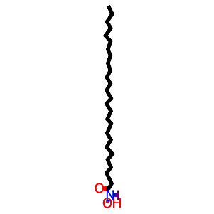 CCCCCCCCCCCCCCCCCCCCCCCCCCC(=O)N(O)I